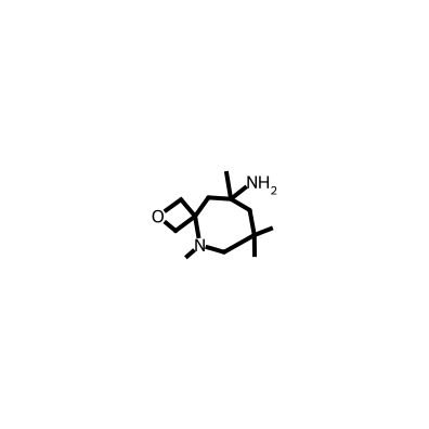 CN1CC(C)(C)CC(C)(N)CC12COC2